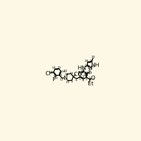 CCC(=O)c1cc(C[C@@]2(C(=O)O)CCN(Cc3cccc(Cl)c3F)[C@H](C)C2)nc(Nc2cc(C)[nH]n2)c1F